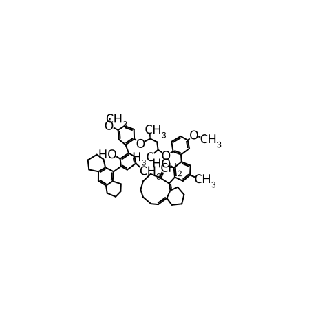 C=C1CCCCC/C=C2/CCCC/C2=C/1c1cc(C)cc(-c2cc(OC)ccc2OC(C)C[C@H](C)Oc2ccc(OC)cc2-c2cc(C)cc(-c3c4c(cc5c3CCCC5)CCCC4)c2O)c1O